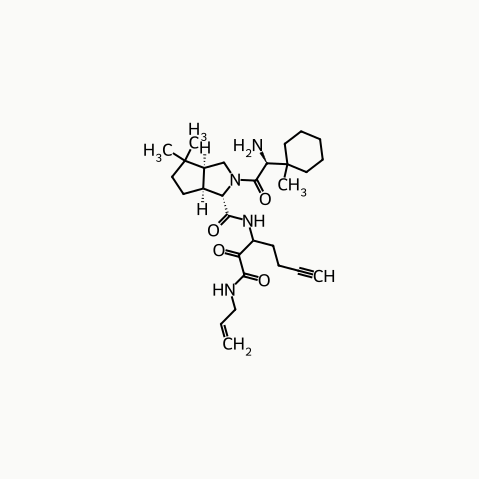 C#CCCC(NC(=O)[C@@H]1[C@H]2CCC(C)(C)[C@H]2CN1C(=O)[C@@H](N)C1(C)CCCCC1)C(=O)C(=O)NCC=C